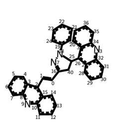 C(=Cc1c2ccccc2nc2ccccc12)C1=NN(c2ccccc2)C(c2c3ccccc3nc3ccccc23)C1